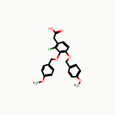 COc1ccc(COc2ccc(CC(=O)O)c(Cl)c2OCc2ccc(OC)cc2)cc1